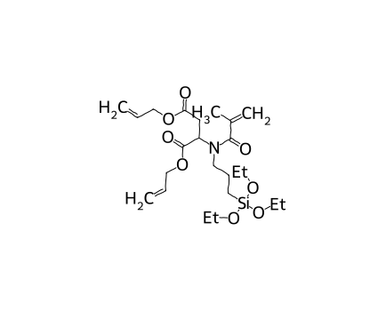 C=CCOC(=O)CC(C(=O)OCC=C)N(CCC[Si](OCC)(OCC)OCC)C(=O)C(=C)C